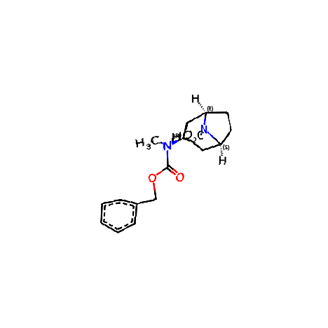 CN(C(=O)OCc1ccccc1)[C@H]1C[C@H]2CC[C@@H](C1)N2C(=O)O